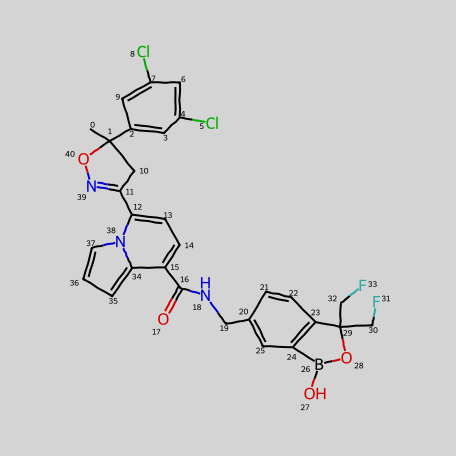 CC1(c2cc(Cl)cc(Cl)c2)CC(c2ccc(C(=O)NCc3ccc4c(c3)B(O)OC4(CF)CF)c3cccn23)=NO1